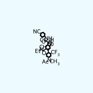 CCN(C)C(=O)c1cc2c(C(=O)Nc3ccc(C#N)cc3C(=O)O)noc2cc1-c1ccc(N(C)C(C)=O)cc1C(F)(F)F